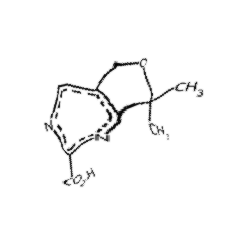 CC1(C)OCc2cnc(C(=O)O)nc21